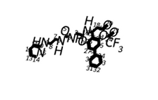 O=C(CNC(=O)NCCNc1ccccn1)NC(CC(=O)OC(=O)C(F)(F)F)c1ccc(-c2ccccc2)cc1